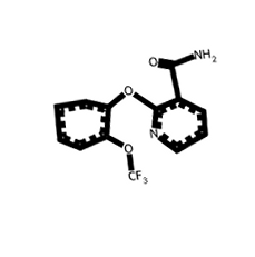 NC(=O)c1cccnc1Oc1ccccc1OC(F)(F)F